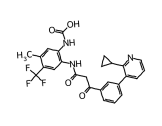 Cc1cc(NC(=O)O)c(NC(=O)CC(=O)c2cccc(-c3cccnc3C3CC3)c2)cc1C(F)(F)F